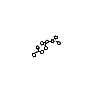 c1ccc(-n2c3ccccc3c3cc(-c4ccc5c6ccccc6n(-c6cccc(-c7cccc(-c8c9ccccc9nc9c8sc8ccccc89)c7)c6)c5c4)ccc32)cc1